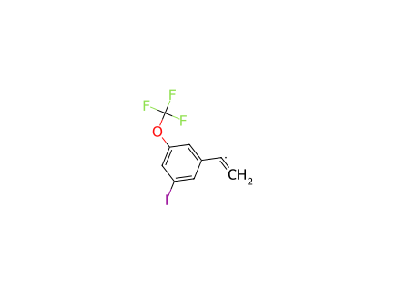 C=[C]c1cc(I)cc(OC(F)(F)F)c1